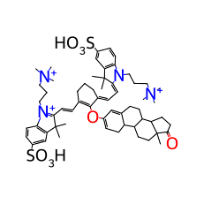 CC1(C)C(/C=C/C2=C(OC3=CCC4C(=C3)CCC3C4CCC4(C)C(=O)CCC34)C(=C/C=C3/N(CCC[N+](C)(C)C)c4ccc(S(=O)(=O)O)cc4C3(C)C)/CCC2)=[N+](CCC[N+](C)(C)C)c2ccc(S(=O)(=O)O)cc21